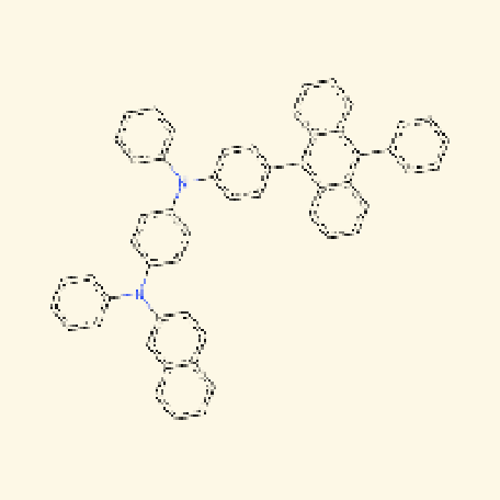 c1ccc(-c2c3ccccc3c(-c3ccc(N(c4ccccc4)c4ccc(N(c5ccccc5)c5ccc6ccccc6c5)cc4)cc3)c3ccccc23)cc1